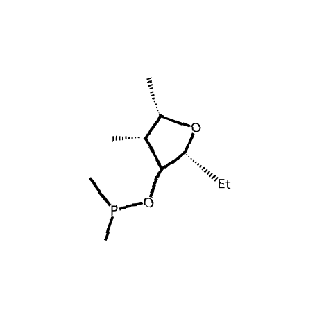 CC[C@H]1O[C@@H](C)[C@@H](C)C1OP(C)C